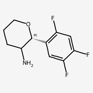 NC1CCCO[C@@H]1c1cc(F)c(F)cc1F